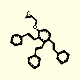 C(=Cc1ccc(OCC2CO2)c(C=Cc2ccccc2)c1C=Cc1ccccc1)c1ccccc1